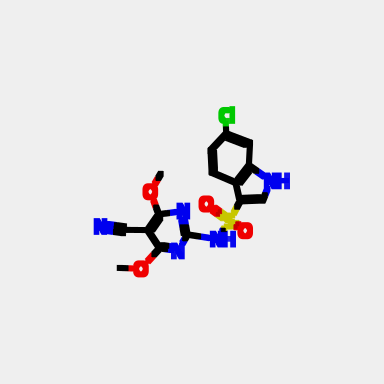 COc1nc(NS(=O)(=O)c2c[nH]c3cc(Cl)ccc23)nc(OC)c1C#N